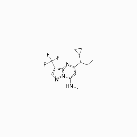 CCC(c1cc(NC)n2ncc(C(F)(F)F)c2n1)C1CC1